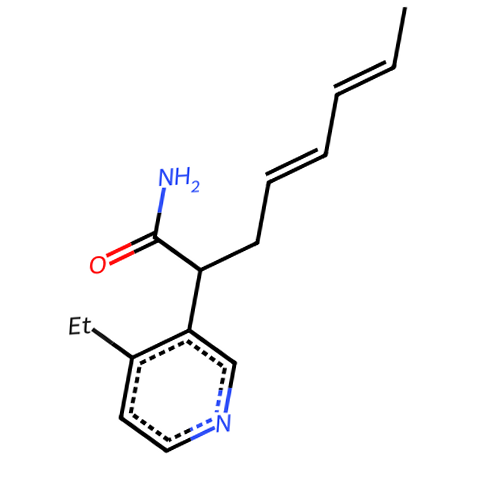 CC=CC=CCC(C(N)=O)c1cnccc1CC